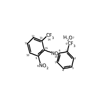 FC(F)(F)c1ccccc1.O.O=[N+]([O-])c1cccc(C(F)(F)F)c1[N+](=O)[O-]